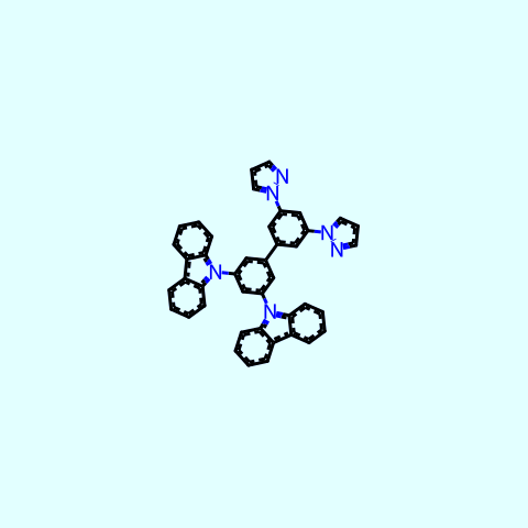 c1ccc2c(c1)c1ccccc1n2-c1cc(-c2cc(-n3cccn3)cc(-n3cccn3)c2)cc(-n2c3ccccc3c3ccccc32)c1